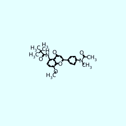 COc1ccc(NC(=O)C(C)(C)C)c2c(=O)cc(-c3ccc(N(C)C(C)=O)cc3)oc12